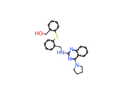 OCc1ccccc1Sc1ccccc1CNc1nc(N2CCCC2)c2ccccc2n1